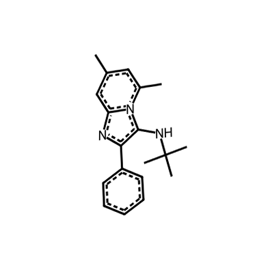 Cc1cc(C)n2c(NC(C)(C)C)c(-c3ccccc3)nc2c1